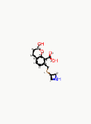 O=C(O)c1c(CSC2CNC2)ccc2c1OB(O)CC2